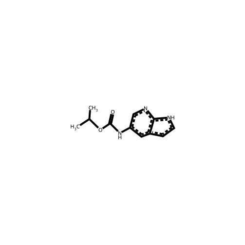 CC(C)OC(=O)Nc1cnc2[nH]ccc2c1